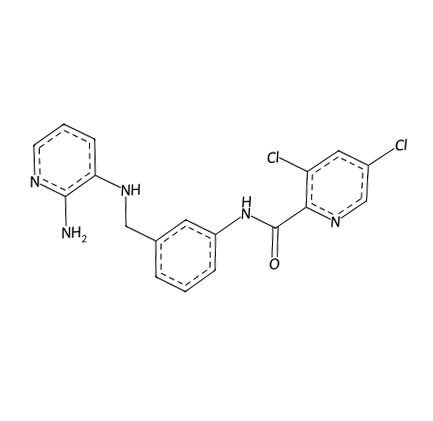 Nc1ncccc1NCc1cccc(NC(=O)c2ncc(Cl)cc2Cl)c1